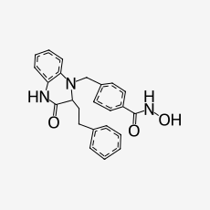 O=C(NO)c1ccc(CN2c3ccccc3NC(=O)C2CCc2ccccc2)cc1